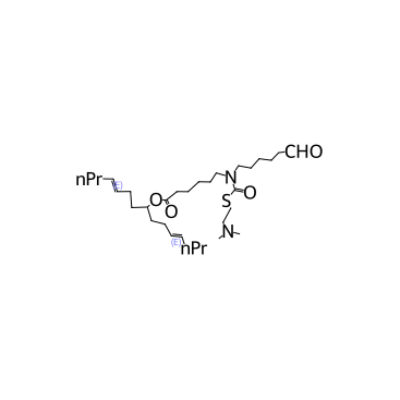 CCC/C=C/CCC(CC/C=C/CCC)OC(=O)CCCCCN(CCCCCC=O)C(=O)SCCN(C)C